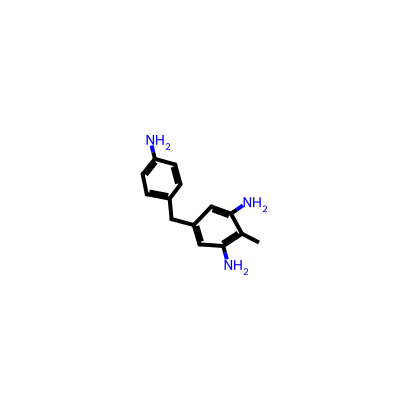 Cc1c(N)cc(Cc2ccc(N)cc2)cc1N